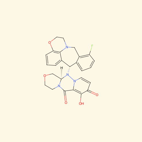 O=C1c2c(O)c(=O)ccn2N([C@H]2c3cccc(F)c3CN3CCOc4cccc2c43)[C@@H]2COCCN12